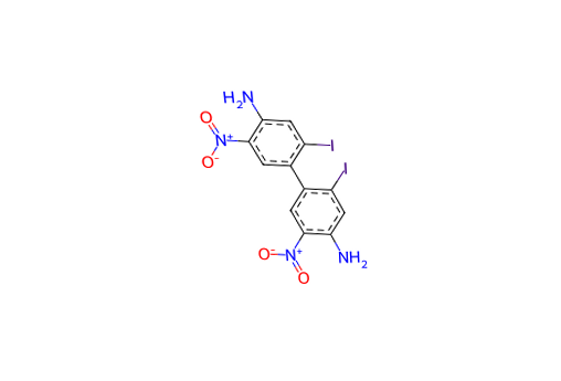 Nc1cc(I)c(-c2cc([N+](=O)[O-])c(N)cc2I)cc1[N+](=O)[O-]